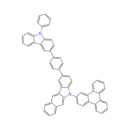 c1ccc(-n2c3ccccc3c3cc(-c4ccc(-c5ccc6c(c5)c5cc7ccccc7cc5n6-c5ccc6c7ccccc7c7ccccc7c6c5)cc4)ccc32)cc1